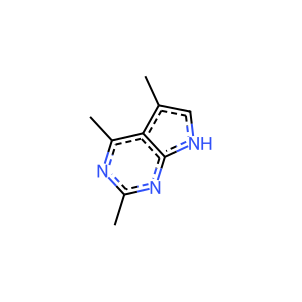 Cc1nc(C)c2c(C)c[nH]c2n1